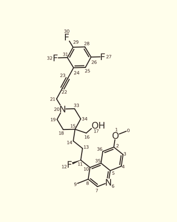 COc1ccc2ncc(C)c([C@@H](F)CCC3(CO)CCN(CC#Cc4cc(F)cc(F)c4F)CC3)c2c1